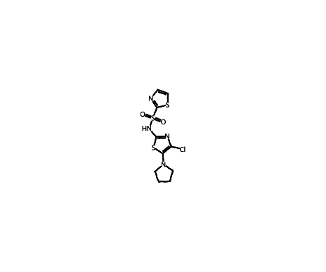 O=S(=O)(Nc1nc(Cl)c(N2CCCC2)s1)c1nccs1